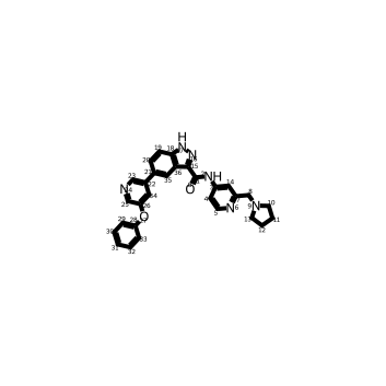 O=C(Nc1ccnc(CN2CCCC2)c1)c1n[nH]c2ccc(-c3cncc(Oc4ccccc4)c3)cc12